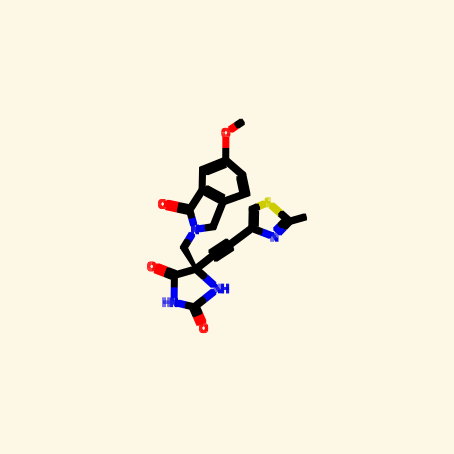 COc1ccc2c(c1)C(=O)N(C[C@@]1(C#Cc3csc(C)n3)NC(=O)NC1=O)C2